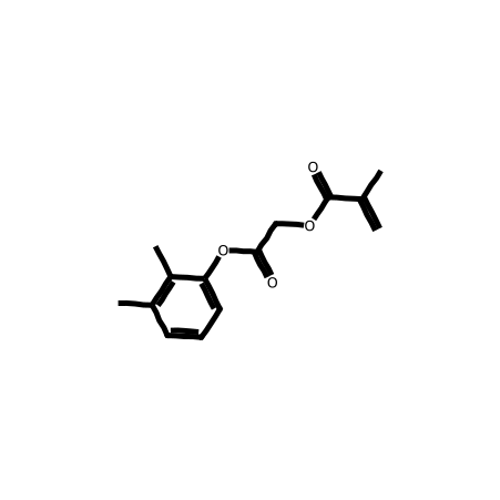 C=C(C)C(=O)OCC(=O)Oc1cccc(C)c1C